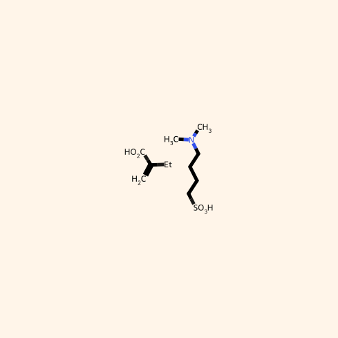 C=C(CC)C(=O)O.CN(C)CCCCS(=O)(=O)O